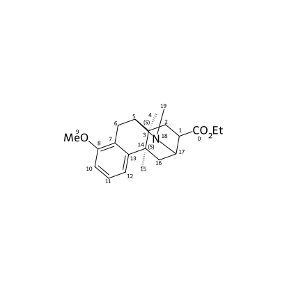 CCOC(=O)C1C[C@]2(C)C3Cc4c(OC)cccc4[C@]2(C)CC1N3C